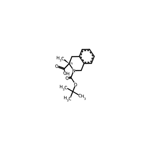 CC(C)(C)OC(=O)N1Cc2ccccc2C[C@@]1(C)C(=O)O